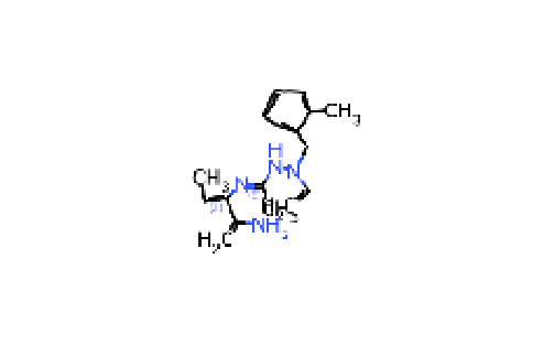 C=CN(Cc1ccccc1C)N/C(C)=N/C(=C\C)C(=C)N